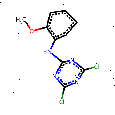 COc1ccccc1Nc1nc(Cl)nc(Cl)n1